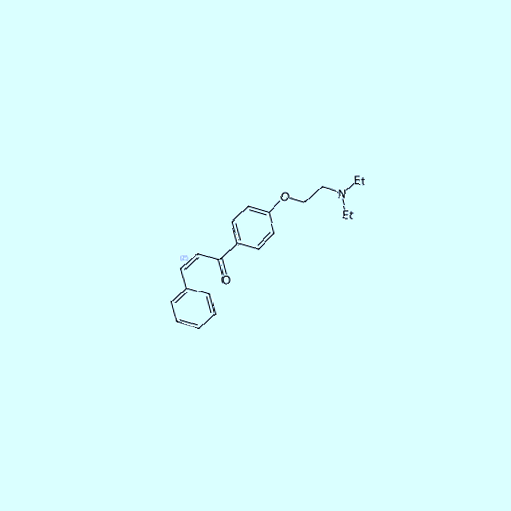 CCN(CC)CCOc1ccc(C(=O)/C=C\c2ccccc2)cc1